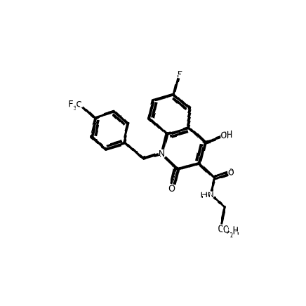 O=C(O)CNC(=O)c1c(O)c2cc(F)ccc2n(Cc2ccc(C(F)(F)F)cc2)c1=O